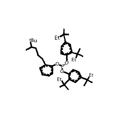 CCC(C)(C)c1ccc(OP(Oc2ccccc2CCCC(C)C(C)(C)C)Oc2ccc(C(C)(C)CC)cc2C(C)(C)CC)c(C(C)(C)CC)c1